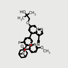 COc1ccc(C(=O)N2C3CC2CN(c2ncc(-c4cc(OCC(C)(C)O)cn5ncc(C#N)c45)cc2F)C3)cn1